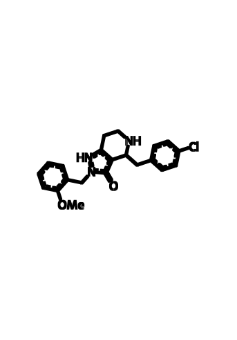 COc1ccccc1Cn1[nH]c2c(c1=O)C(Cc1ccc(Cl)cc1)NCC2